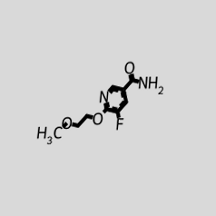 COCCOc1ncc(C(N)=O)cc1F